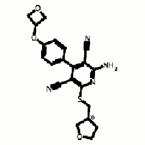 N#Cc1c(N)nc(SC[C@H]2CCOC2)c(C#N)c1-c1ccc(OC2COC2)cc1